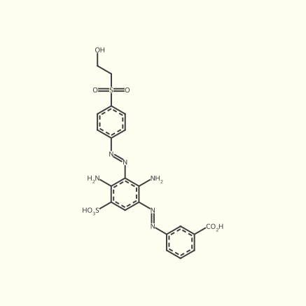 Nc1c(/N=N/c2cccc(C(=O)O)c2)cc(S(=O)(=O)O)c(N)c1/N=N/c1ccc(S(=O)(=O)CCO)cc1